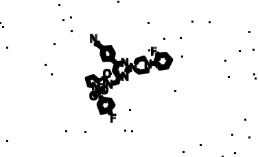 N#Cc1ccc(-c2cc(CNC(=O)[C@@H]3CCCN3S(=O)(=O)c3ccc(F)cc3)nc(N3CCN(c4ccccc4F)CC3)n2)cc1